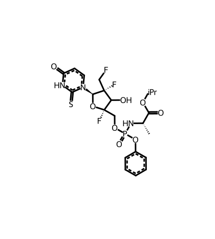 CC(C)OC(=O)[C@H](C)NP(=O)(OC[C@@]1(F)O[C@@H](n2ccc(=O)[nH]c2=S)[C@@](F)(CF)C1O)Oc1ccccc1